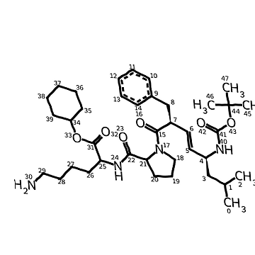 CC(C)C[C@@H](/C=C/[C@H](Cc1ccccc1)C(=O)N1CCCC1C(=O)NC(CCCCN)C(=O)OC1CCCCC1)NC(=O)OC(C)(C)C